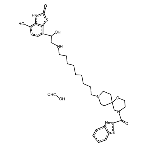 O=C(c1nc2ccccc2s1)N1CCOC2(CCN(CCCCCCCCCNCC(O)c3ccc(O)c4[nH]c(=O)sc34)CC2)C1.O=CO